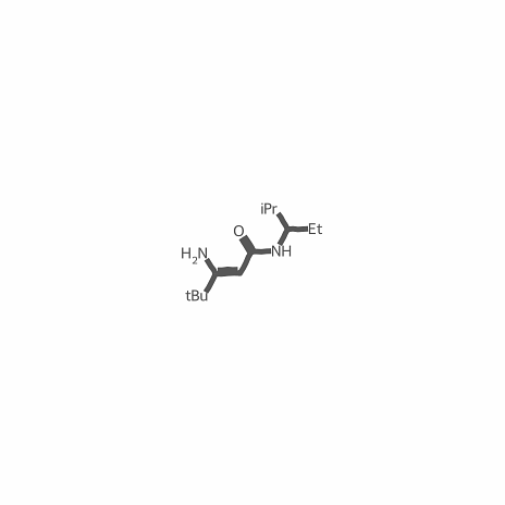 CCC(NC(=O)/C=C(\N)C(C)(C)C)C(C)C